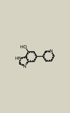 Oc1cc(-c2cccnc2)cc2nc[nH]c12